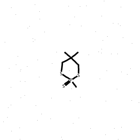 CC1(C)CSP(C)(=S)SC1